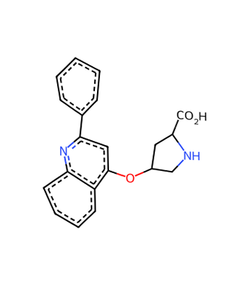 O=C(O)C1CC(Oc2cc(-c3ccccc3)nc3ccccc23)CN1